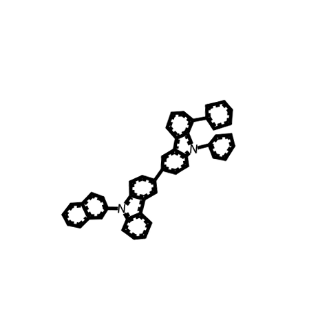 c1ccc(-c2cccc3c4cc(-c5ccc6c(c5)c5ccccc5n6-c5ccc6ccccc6c5)ccc4n(-c4ccccc4)c23)cc1